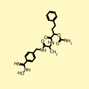 CC(NC(=O)C(CCc1ccccc1)OC(N)=O)C(=O)NCc1ccc(C(=N)NO)cc1